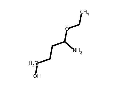 CCOC(N)CC[SiH2]O